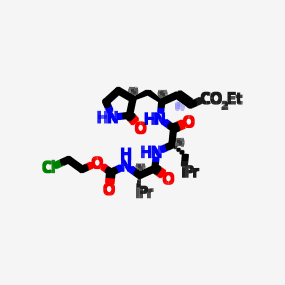 CCOC(=O)/C=C/[C@H](C[C@@H]1CCNC1=O)NC(=O)[C@H](CC(C)C)NC(=O)[C@@H](NC(=O)OCCCl)C(C)C